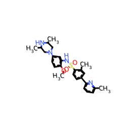 COc1ccc(N2CC(C)NC(C)C2)cc1NS(=O)(=O)c1ccc(-c2cccc(C)n2)cc1C